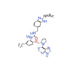 CC(=O)Nc1nc2ccc(CNC(=O)Nc3cc(C(F)(F)F)ccc3OCC3CCCN3c3ncnc4[nH]cnc34)cc2[nH]1